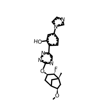 CO[C@@H]1C[C@]2(C)CC1C[C@@H](Oc1ncc(-c3ccc(-n4ccnc4)cc3O)nn1)[C@@H]2F